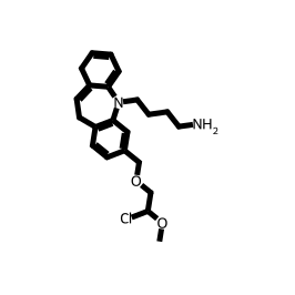 COC(Cl)COCc1ccc2c(c1)N(CCCCN)C1=CC=CCC1=CC2